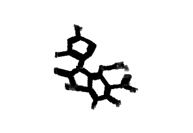 COc1c([N+](=O)[O-])c(F)c(F)c2[nH]c(=O)n(-c3ccc(Br)cc3F)c12